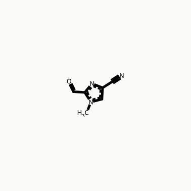 Cn1cc(C#N)nc1C=O